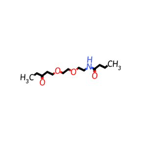 CCCC(=O)NCCOCCOCCC(=O)CC